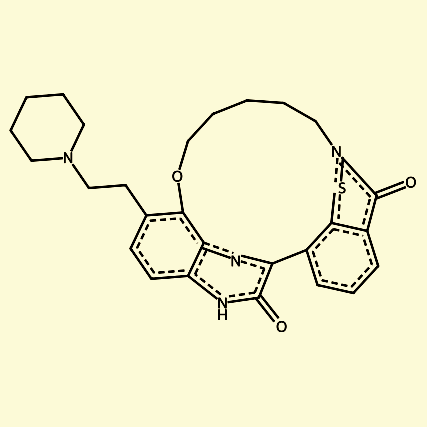 O=c1[nH]c2ccc(CCN3CCCCC3)c3c2nc1-c1cccc2c(=O)n(sc12)CCCCCO3